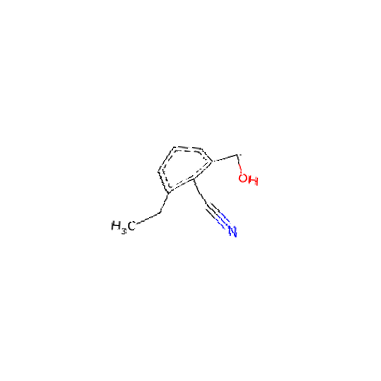 CCc1cccc([CH]O)c1C#N